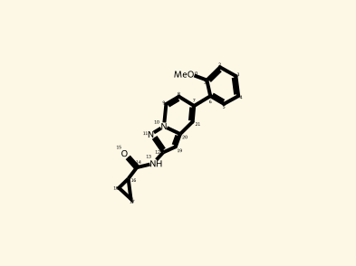 COc1ccccc1-c1ccn2nc(NC(=O)C3CC3)cc2c1